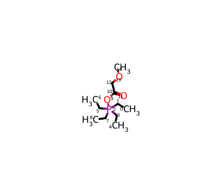 CCP(CC)(CC)(CC)OC(=O)COC